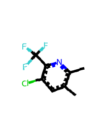 Cc1cc(Cl)c(C(F)(F)F)nc1C